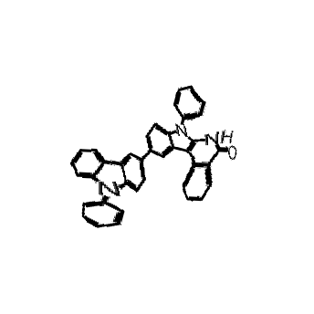 O=c1[nH]c2c(c3ccccc13)c1cc(-c3ccc4c(c3)c3ccccc3n4-c3ccccc3)ccc1n2-c1ccccc1